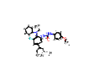 COCC(CC(=O)O)c1cc(F)c(N(CC(C)C)C2CCCCC2)c(NC(=O)Nc2ccc(OC(F)(F)F)cc2)c1